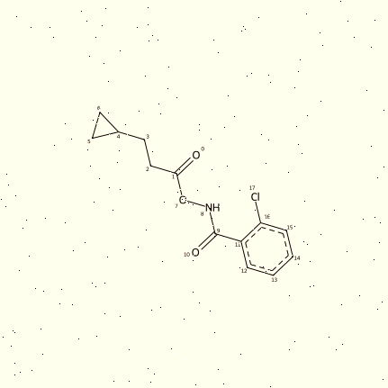 O=C(CCC1CC1)ONC(=O)c1ccccc1Cl